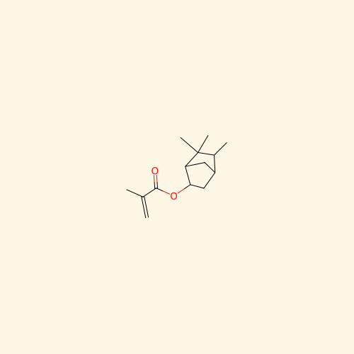 C=C(C)C(=O)OC1CC2CC1C(C)(C)C2C